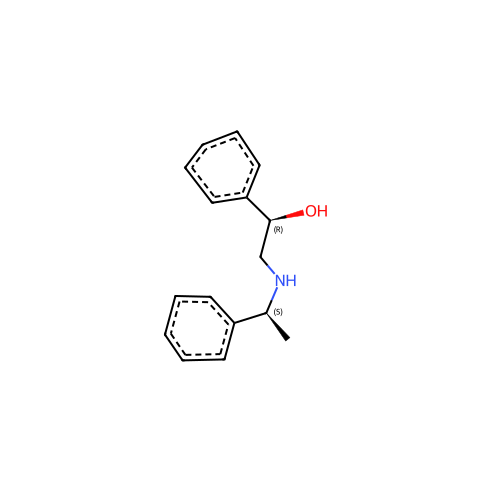 C[C@H](NC[C@H](O)c1ccccc1)c1ccccc1